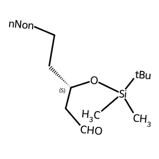 CCCCCCCCCCC[C@@H](CC=O)O[Si](C)(C)C(C)(C)C